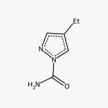 CCc1cnn(C(N)=O)c1